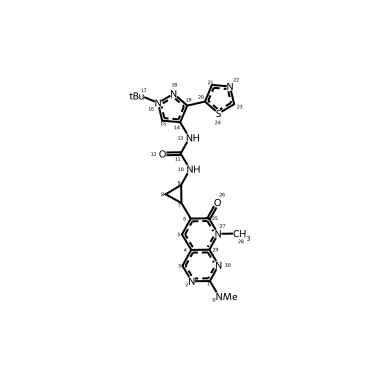 CNc1ncc2cc(C3CC3NC(=O)Nc3cn(C(C)(C)C)nc3-c3cncs3)c(=O)n(C)c2n1